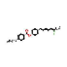 CCCCC[C@H]1CC[C@H](C(=O)O[C@H]2CC[C@H](CCC=CC=C(F)C#N)CC2)CC1